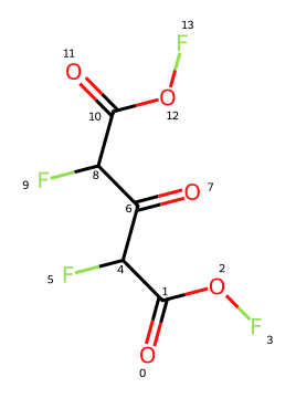 O=C(OF)C(F)C(=O)C(F)C(=O)OF